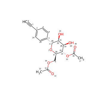 C#Cc1ccc([C@H]2O[C@H](COC(C)=O)[C@@H](OC(C)=O)[C@H](O)[C@@H]2O)cc1